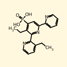 CCc1cccnc1-c1nc(-c2ccccn2)cc(P(=O)(O)O)c1CC